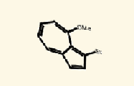 CCc1ccc2ccccc(OC)c1-2